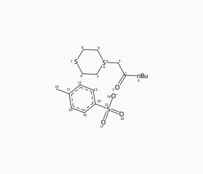 CCCCC(=O)C[S+]1CCSCC1.Cc1ccc(S(=O)(=O)[O-])cc1